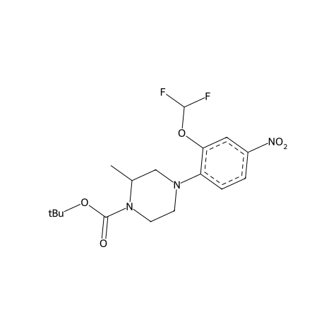 CC1CN(c2ccc([N+](=O)[O-])cc2OC(F)F)CCN1C(=O)OC(C)(C)C